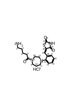 Cl.NCCCCC(=O)N1CCCN(c2ccccc2C=C2SC(=O)NC2=O)CC1